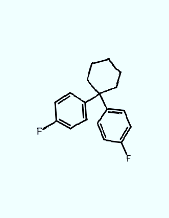 Fc1ccc(C2(c3ccc(F)cc3)CCCCC2)cc1